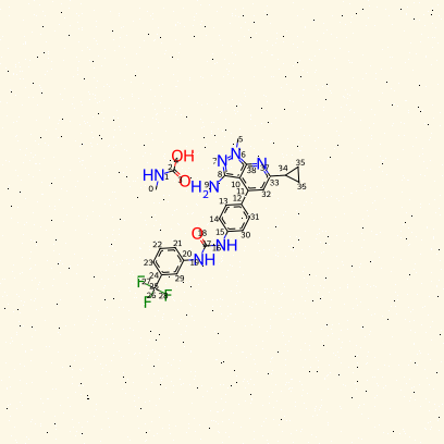 CNC(=O)O.Cn1nc(N)c2c(-c3ccc(NC(=O)Nc4cccc(C(F)(F)F)c4)cc3)cc(C3CC3)nc21